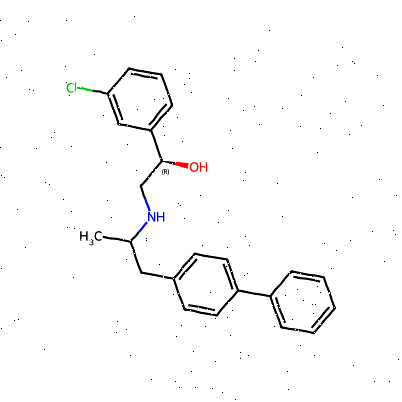 CC(Cc1ccc(-c2ccccc2)cc1)NC[C@H](O)c1cccc(Cl)c1